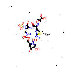 CC(C)(O/N=C(\C(=O)N[C@@H]1C(=O)N(S(=O)(=O)[O-])[C@@H]1CNC(=O)OCc1cc(=O)c(O)cn1O)c1csc(N)n1)C(=O)[O-].[Na+].[Na+]